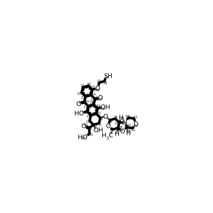 C[C@@H]1O[C@@H](O[C@H]2C[C@](O)(C(=O)CO)Cc3c(O)c4c(c(O)c32)C(=O)c2c(OCCS)cccc2C4=O)C[C@H]2[C@@H]1O[C@@H]1COCCN12